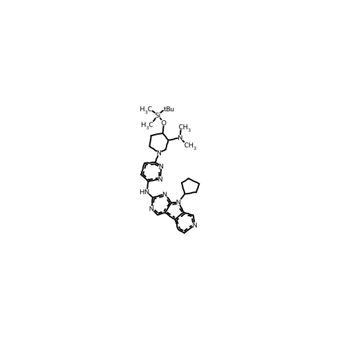 CN(C)C1CN(c2ccc(Nc3ncc4c5ccncc5n(C5CCCC5)c4n3)nn2)CCC1O[Si](C)(C)C(C)(C)C